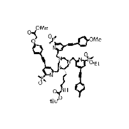 CCOP(C)(=O)c1cc(C#Cc2ccc(C)cc2)cc(CN2C[C@H](CCCCNC(=O)OC(C)(C)C)N(Cc3cc(C#Cc4ccc(OCC(=O)OC)cc4)cc(P(C)(C)=O)n3)CN(Cc3cc(C#Cc4ccc(OC)cc4)cc(P(C)(C)=O)n3)C2)n1